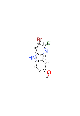 COC1CCc2[nH]c3cc(Br)c(Cl)nc3c2C1